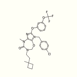 CN1C(=O)N(CCC2(C)CCC2)COc2c1nc(Oc1cccc(OC(F)(F)F)c1)n2Cc1ccc(Cl)cc1